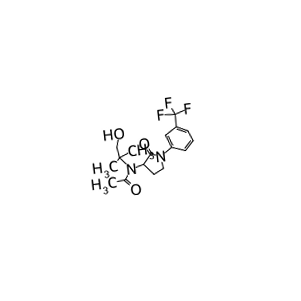 CC(=O)N(C1CCN(c2cccc(C(F)(F)F)c2)C1=O)C(C)(C)CO